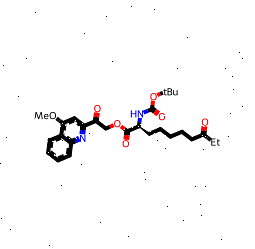 CCC(=O)CCCCC[C@H](NC(=O)OC(C)(C)C)C(=O)OCC(=O)c1cc(OC)c2ccccc2n1